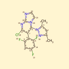 Cc1cc(C)n(-c2c(-c3c(F)cc(F)cc3F)c(Cl)nc3nccn23)n1